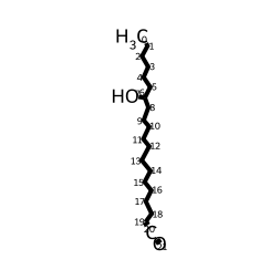 CCCCCCC(O)CCCCCCCCCCCC=C=O